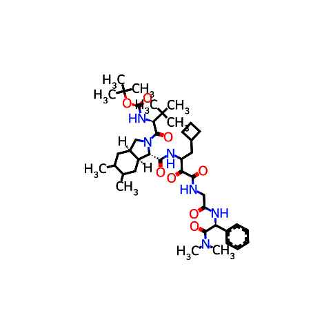 CC1C[C@H]2CN(C(=O)[C@@H](NC(=O)OC(C)(C)C)C(C)(C)C)[C@H](C(=O)NC(CC3CCC3)C(=O)C(=O)NCC(=O)N[C@H](C(=O)N(C)C)c3ccccc3)[C@H]2CC1C